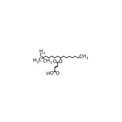 CCCCCCCC(CCCCCC(C)(C)C)OC(=O)C=CC(=O)O